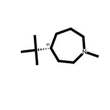 CN1CCC[C@@H](C(C)(C)C)CC1